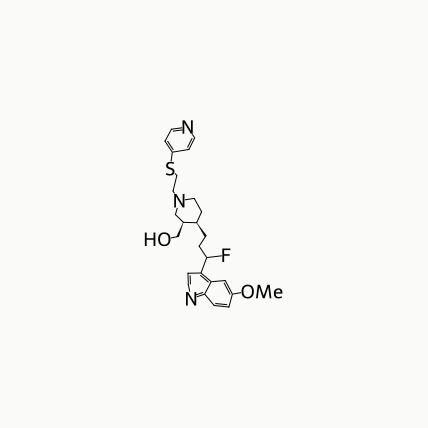 COc1ccc2nccc(C(F)CC[C@@H]3CCN(CCSc4ccncc4)C[C@@H]3CO)c2c1